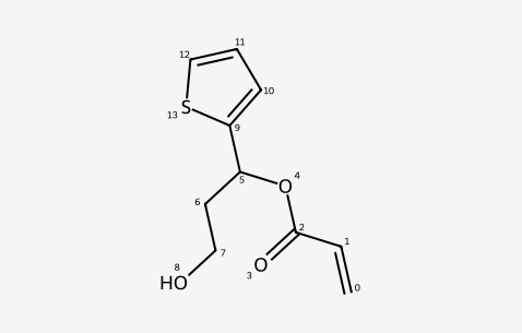 C=CC(=O)OC(CCO)c1cccs1